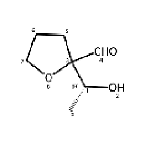 C[C@@H](O)C1(C=O)CCCO1